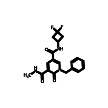 CNC(=O)c1cc(C(=O)NC2CC(F)(F)C2)cn(Cc2ccccc2)c1=O